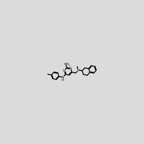 Cc1ccc(Nc2cc(CN(C)C3CCc4ccccc4C3)nc(N)n2)cc1